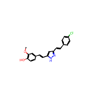 COc1cc(C=Cc2cc(C=Cc3ccc(Cl)cc3)n[nH]2)ccc1O